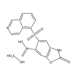 O=S(=O)(O)O.O=c1[nH]c2cc(S(=O)(=O)c3cccc4cnccc34)c([N+](=O)O)cc2o1